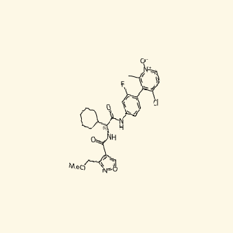 COCc1nocc1C(=O)N[C@H](C(=O)Nc1ccc(-c2c(Cl)cc[n+]([O-])c2C)c(F)c1)C1CCCCC1